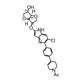 CC(=O)N1CC=C(c2ccc(-c3nc4cc(O[C@@H]5CO[C@H]6[C@@H]5OC[C@H]6O)[nH]c4cc3Cl)cc2)CC1